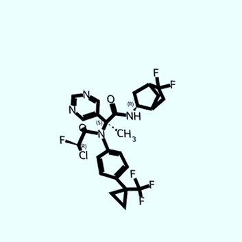 C[C@@](C(=O)N[C@@H]1CC2CC1CC2(F)F)(c1cncnc1)N(C(=O)[C@H](F)Cl)c1ccc(C2(C(F)(F)F)CC2)cc1